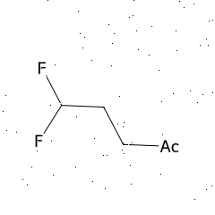 CC(=O)CCC(F)F